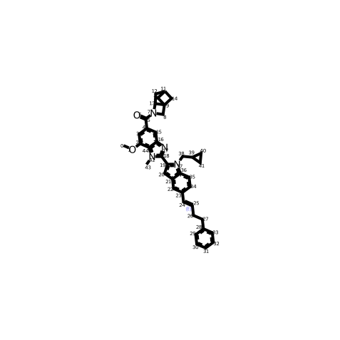 COc1cc(C(=O)N2CC34CC(CC23)C4)cc2nc(-c3cc4cc(/C=C/CCc5ccccc5)ccc4n3CC3CC3)n(C)c12